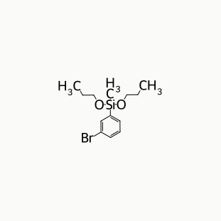 CCCO[Si](C)(OCCC)c1cccc(Br)c1